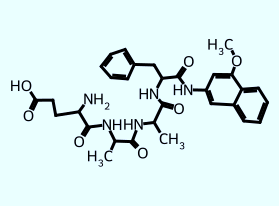 COc1cc(NC(=O)C(Cc2ccccc2)NC(=O)C(C)NC(=O)C(C)NC(=O)C(N)CCC(=O)O)cc2ccccc12